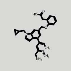 C=N/C(=C\C(=C/C)c1cc(COc2ccccc2CC(=O)O)cc2c1ccn2CC1CC1)CN